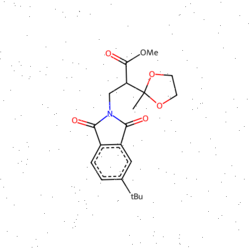 COC(=O)C(CN1C(=O)c2ccc(C(C)(C)C)cc2C1=O)C1(C)OCCO1